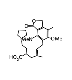 CNc1c(C/C=C(\C)CC(CCN2CCCC2)C(=O)O)c(OC)c(C)c2c1C(=O)OC2